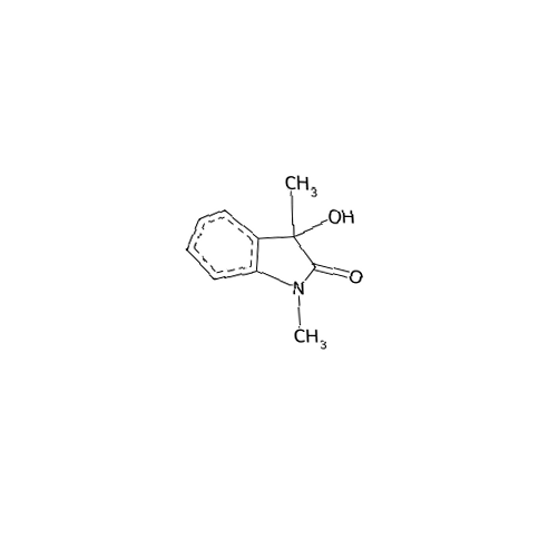 CN1C(=O)C(C)(O)c2ccccc21